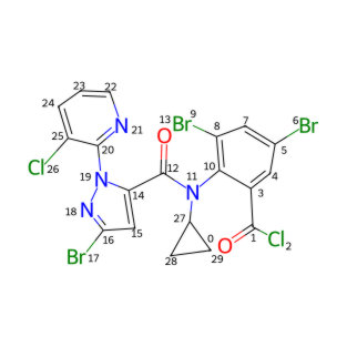 O=C(Cl)c1cc(Br)cc(Br)c1N(C(=O)c1cc(Br)nn1-c1ncccc1Cl)C1CC1